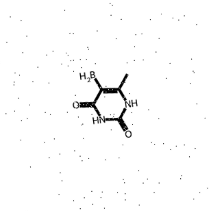 Bc1c(C)[nH]c(=O)[nH]c1=O